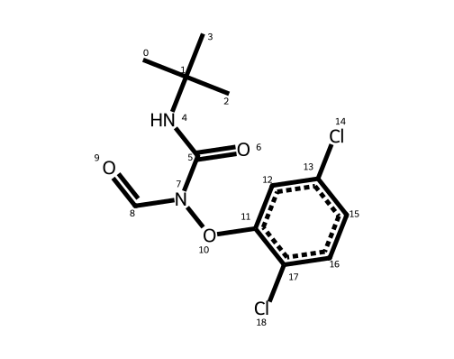 CC(C)(C)NC(=O)N(C=O)Oc1cc(Cl)ccc1Cl